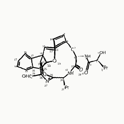 CC(C)[C@H](O)C(=O)N[C@H]1Cc2ccc3c(c2)C2(c4ccccc4NC2O3)c2oc(nc2C=O)[C@H](C(C)C)NC1=O